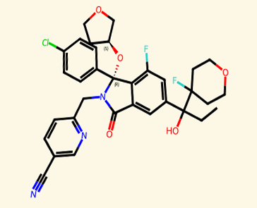 CCC(O)(c1cc(F)c2c(c1)C(=O)N(Cc1ccc(C#N)cn1)[C@@]2(O[C@H]1CCOC1)c1ccc(Cl)cc1)C1(F)CCOCC1